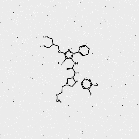 COCCN1C[C@@H](NC(=O)Nc2c(C)c(OCC(CO)CO)nn2C2=CCCC=C2)[C@H](c2ccc(F)c(F)c2)C1